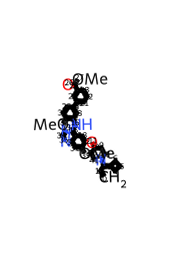 C=CC(=C1CCC1)N1CCC(Oc2cc3c(Nc4cc(-c5cccc(C(=O)OC)c5)ccc4OC)ncnc3cc2OC)CC1